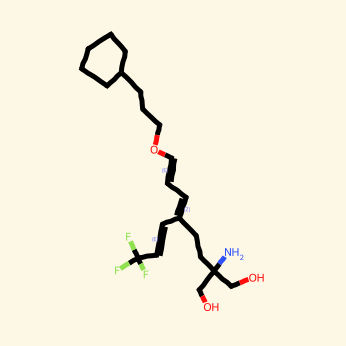 NC(CO)(CO)CCC(=C/C=C/OCCCC1CCCCC1)/C=C/C(F)(F)F